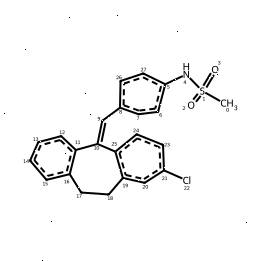 CS(=O)(=O)Nc1ccc(C=C2c3ccccc3CCc3cc(Cl)ccc32)cc1